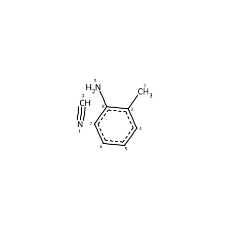 C#N.Cc1ccccc1N